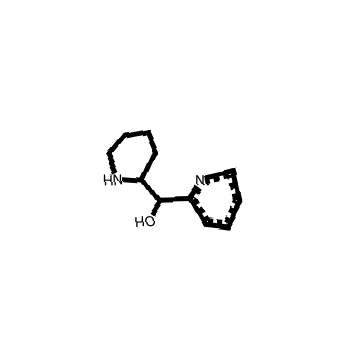 OC(c1ccccn1)C1CCCCN1